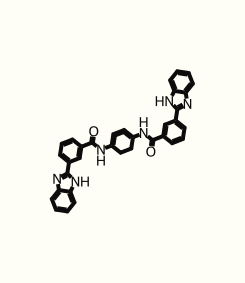 O=C(NC1=C=C=C(NC(=O)c2cccc(-c3nc4ccccc4[nH]3)c2)CC1)c1cccc(-c2nc3ccccc3[nH]2)c1